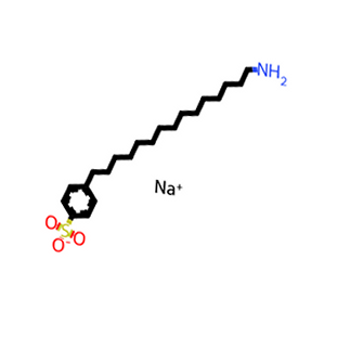 NCCCCCCCCCCCCCCCc1ccc(S(=O)(=O)[O-])cc1.[Na+]